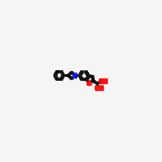 OC(O)c1cc2ccc(N3CC(c4ccccc4)C3)cc2o1